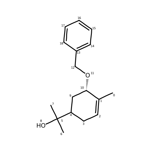 CC1=CCC(C(C)(C)O)C[C@@H]1OCc1ccccc1